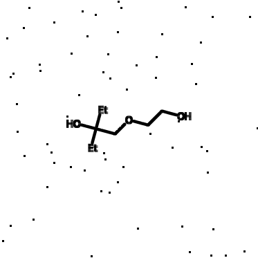 CCC(O)(CC)COCCO